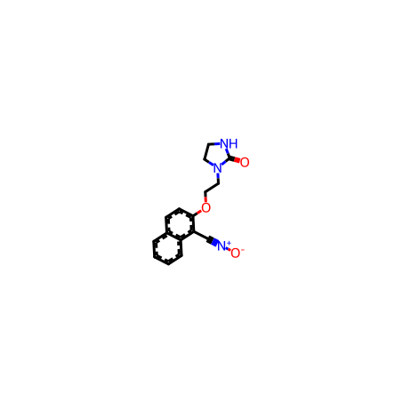 O=C1NCCN1CCOc1ccc2ccccc2c1C#[N+][O-]